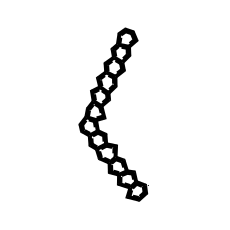 [c]1cccc2cc3cc4cc5cc6ccc7cc8cc9cc%10cc%11cc%12ccccc%12cc%11cc%10cc9cc8cc7c6cc5cc4cc3cc12